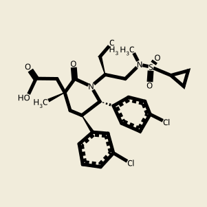 CC[C@@H](CN(C)S(=O)(=O)C1CC1)N1C(=O)[C@@](C)(CC(=O)O)C[C@H](c2cccc(Cl)c2)[C@H]1c1ccc(Cl)cc1